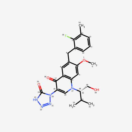 COc1cc2c(cc1Cc1cccc(C)c1F)c(=O)c(-n1nn[nH]c1=O)cn2[C@H](CO)C(C)C